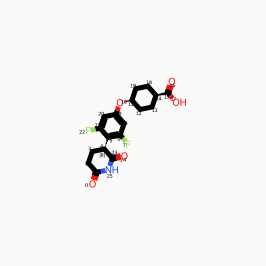 O=C1CC[C@H](c2c(F)cc(O[C@H]3CC[C@H](C(=O)O)CC3)cc2F)C(=O)N1